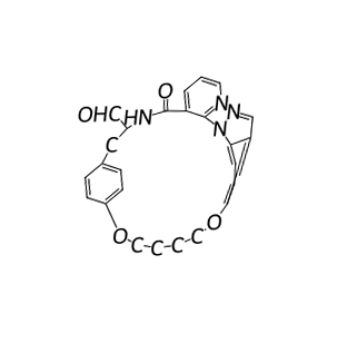 O=CC1Cc2ccc(cc2)OCCCCOc2ccc3c(cnn3-c3ncccc3C(=O)N1)c2